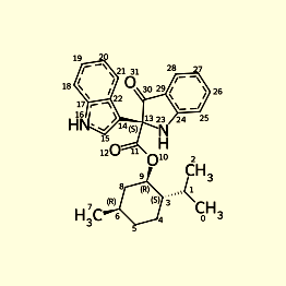 CC(C)[C@@H]1CC[C@@H](C)C[C@H]1OC(=O)[C@@]1(c2c[nH]c3ccccc23)Nc2ccccc2C1=O